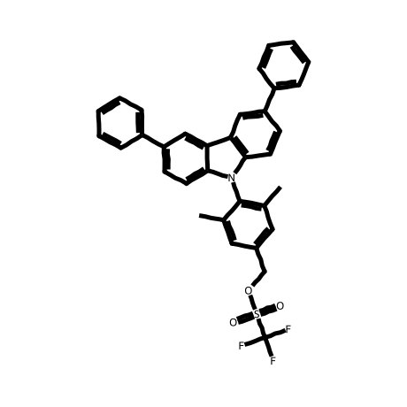 Cc1cc(COS(=O)(=O)C(F)(F)F)cc(C)c1-n1c2ccc(-c3ccccc3)cc2c2cc(-c3ccccc3)ccc21